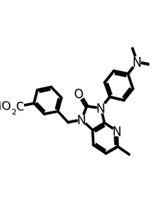 Cc1ccc2c(n1)n(-c1ccc(N(C)C)cc1)c(=O)n2Cc1cccc(C(=O)O)c1